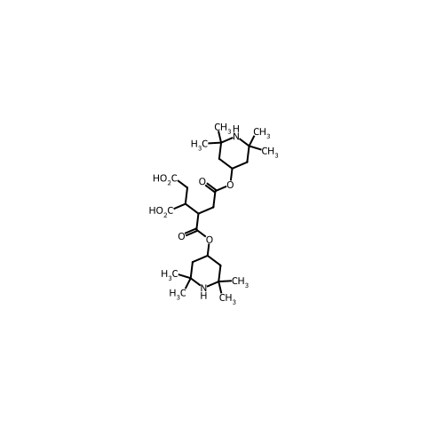 CC1(C)CC(OC(=O)CC(C(=O)OC2CC(C)(C)NC(C)(C)C2)C(CC(=O)O)C(=O)O)CC(C)(C)N1